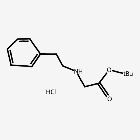 CC(C)(C)OC(=O)CNCCc1ccccc1.Cl